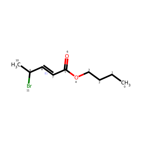 CCCCOC(=O)/C=C/C(C)Br